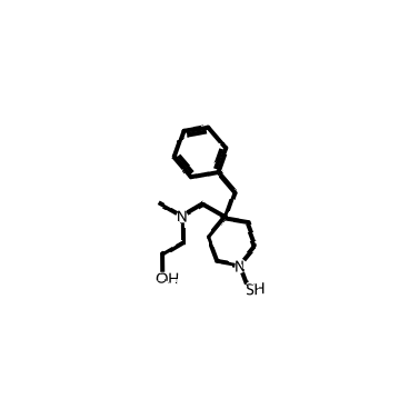 CN(CCO)CC1(Cc2ccccc2)CCN(S)CC1